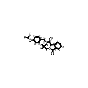 CC(C)(C)CN1C(=O)c2ccccc2C1C(=O)NCc1ccc(OC(F)F)cc1